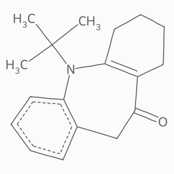 CC(C)(C)N1C2=C(CCCC2)C(=O)Cc2ccccc21